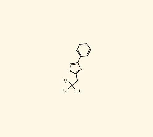 CC(C)(C)Cc1nc(-c2[c]cccc2)no1